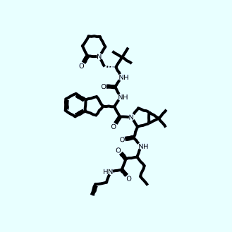 C=CCNC(=O)C(=O)C(CCC)NC(=O)C1C2C(CN1C(=O)C(NC(=O)N[C@H](CN1CCCCC1=O)C(C)(C)C)C1Cc3ccccc3C1)C2(C)C